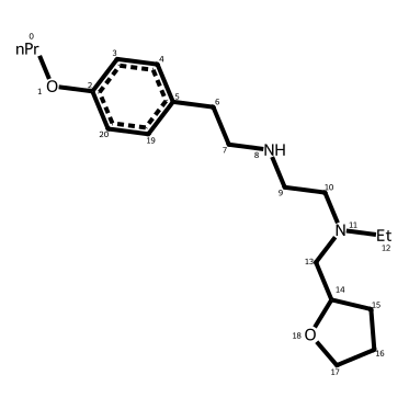 CCCOc1ccc(CCNCCN(CC)CC2CCCO2)cc1